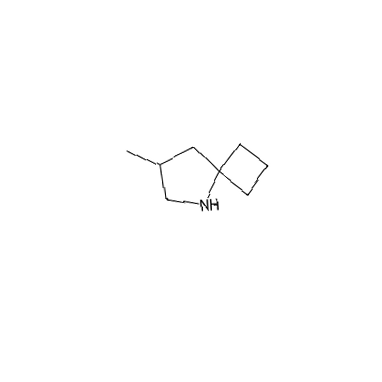 CC1CNC2(CCC2)C1